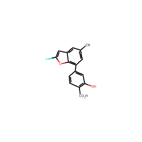 N#Cc1cc(-c2ccc(C(=O)O)c(O)c2)c2oc(F)cc2c1